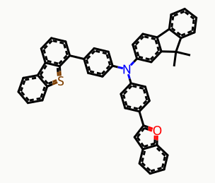 CC1(C)c2ccccc2-c2ccc(N(c3ccc(-c4cc5ccccc5o4)cc3)c3ccc(-c4cccc5c4sc4ccccc45)cc3)cc21